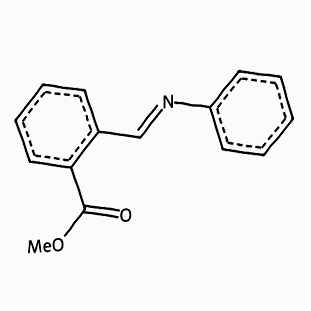 COC(=O)c1ccccc1C=Nc1ccccc1